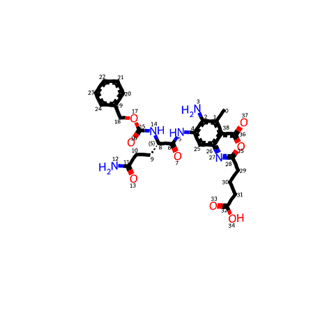 Cc1c(N)c(NC(=O)[C@H](CCC(N)=O)NC(=O)OCc2ccccc2)cc2nc(CCCC(=O)O)oc(=O)c12